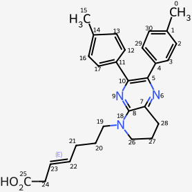 Cc1ccc(-c2nc3c(nc2-c2ccc(C)cc2)N(CCC/C=C/CC(=O)O)CCC3)cc1